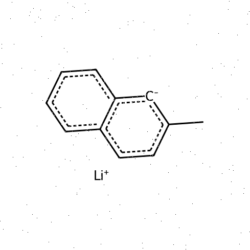 Cc1[c-]c2ccccc2cc1.[Li+]